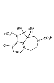 CC(C)(C)C1(C(C)(C)C)[C@@H]2CN(C(=O)O)CCc3ccc(Cl)c(c32)N1C(=O)O